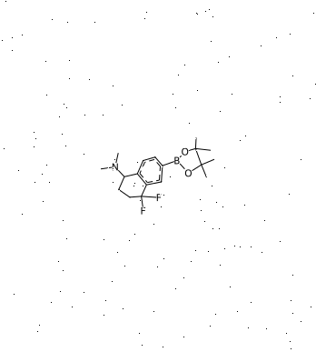 CN(C)C1CCC(F)(F)c2cc(B3OC(C)(C)C(C)(C)O3)ccc21